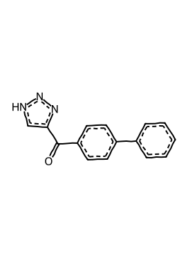 O=C(c1ccc(-c2ccccc2)cc1)c1c[nH]nn1